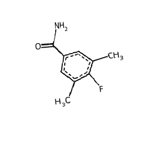 Cc1cc(C(N)=O)cc(C)c1F